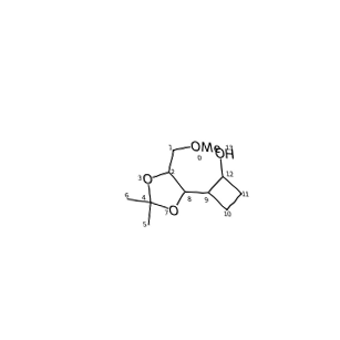 COCC1OC(C)(C)OC1C1CCC1O